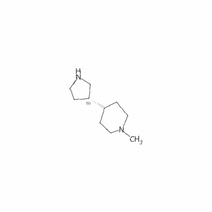 CN1CCC([C@@H]2CCNC2)CC1